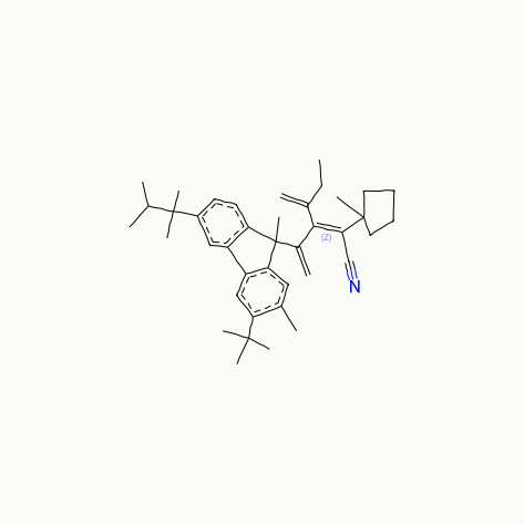 C=C(CC)/C(C(=C)C1(C)c2ccc(C(C)(C)C(C)C)cc2-c2cc(C(C)(C)C)c(C)cc21)=C(/C#N)C1(C)CCCC1